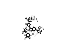 Cc1noc(C)c1-c1ccc2c(c1)nc([C@@H]1CCC(=O)N1c1ccc(F)c(F)c1)n2[C@@H]1CCC(C(=O)OC(C)(C)C)C1